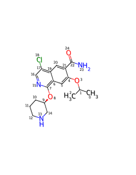 CC(C)Oc1cc2c(O[C@@H]3CCCNC3)ncc(Cl)c2cc1C(N)=O